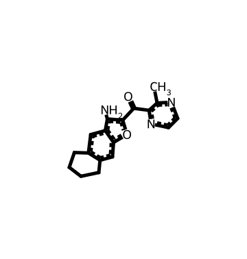 Cc1nccnc1C(=O)c1oc2cc3c(cc2c1N)CCCC3